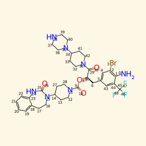 Nc1c(Br)cc(C[C@@H](OC(=O)N2CCC(N3CCc4ccccc4NC3=O)CC2)C(=O)N2CCC(N3CCNCC3)CC2)cc1C(F)(F)F